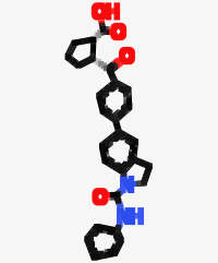 O=C(O)[C@H]1CCC[C@H]1C(=O)c1ccc(-c2ccc3c(c2)CCN3C(=O)Nc2ccccc2)cc1